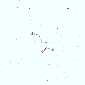 CCC(=O)CSCC(C)(C)C